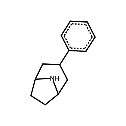 c1ccc(C2CC3CCC(C2)N3)cc1